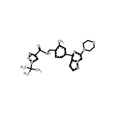 Cc1cc(-c2nc(N3CCOCC3)cn3nccc23)ccc1CNC(=O)c1cn(C(C)(C)C)nn1